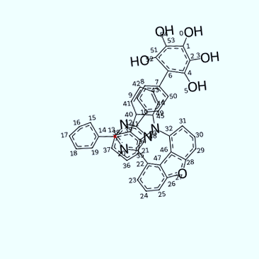 Oc1c(O)c(O)c(-c2ccc(-c3nc(-c4ccccc4)nc(-c4cccc5oc6cccc(N7c8ccccc8C8C=CC=CC87)c6c45)n3)cc2)c(O)c1O